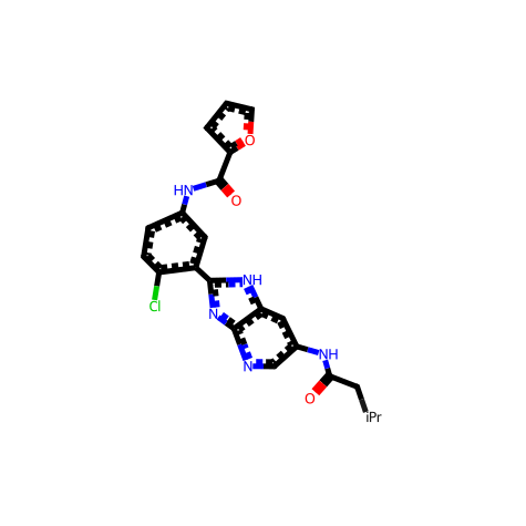 CC(C)CC(=O)Nc1cnc2nc(-c3cc(NC(=O)c4ccco4)ccc3Cl)[nH]c2c1